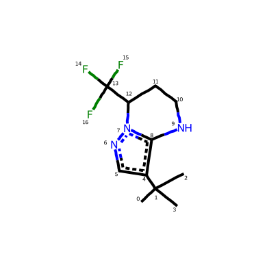 CC(C)(C)c1cnn2c1NCCC2C(F)(F)F